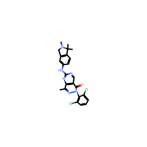 Cc1nn(-c2c(Cl)cccc2Cl)c(=O)c2cnc(Nc3ccc4c(c3)CN(C)C4(C)C)nc12